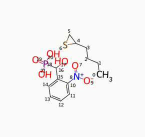 CCCCC1CS1.O=[N+]([O-])c1ccccc1C(O)P(=O)(O)O